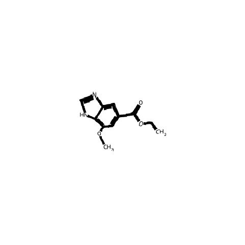 CCOC(=O)c1cc(OC)c2[nH]cnc2c1